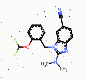 CN(C)c1nc2ccc(C#N)cc2n1Cc1ccccc1OC(F)F